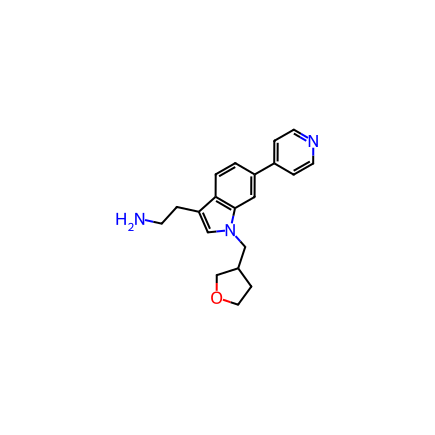 NCCc1cn(CC2CCOC2)c2cc(-c3ccncc3)ccc12